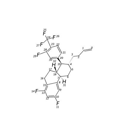 C=CCC[C@@H]1CC[C@H]2c3cc(F)cc(F)c3CC[C@@H]2[C@H]1c1ccc(C(F)(F)F)c(F)c1